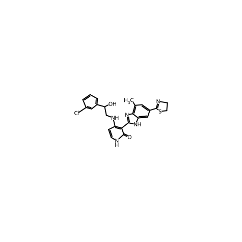 Cc1cc(C2=NCCS2)cc2[nH]c(-c3c(NCC(O)c4cccc(Cl)c4)cc[nH]c3=O)nc12